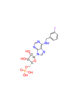 O=P(O)(O)OC[C@H]1O[C@@H](n2cnc3c(NCc4cccc(I)c4)ncnc32)[C@H](O)[C@@H]1O